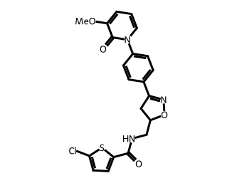 COc1cccn(-c2ccc(C3=NOC(CNC(=O)c4ccc(Cl)s4)C3)cc2)c1=O